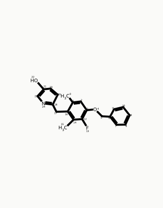 Cc1cc(OCc2ccccc2)c(F)c(C)c1Cc1ccc(O)cn1